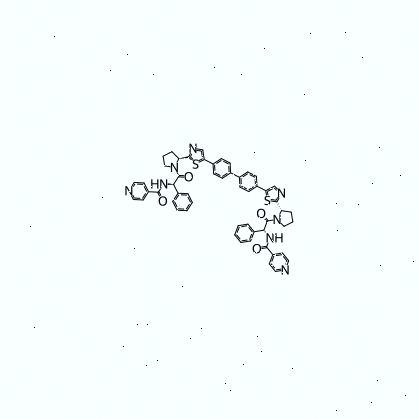 O=C(N[C@@H](C(=O)N1CCC[C@H]1c1ncc(-c2ccc(-c3ccc(-c4cnc([C@@H]5CCCN5C(=O)[C@H](NC(=O)c5ccncc5)c5ccccc5)s4)cc3)cc2)s1)c1ccccc1)c1ccncc1